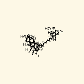 C=C(C)[C@@H]1CC[C@]2(C(=O)NCCCCCCCC(=O)N[C@H](CC(C)C)[C@H](O)CC(=O)O)CC[C@]3(C)[C@H](CCC4[C@@]5(C)CC[C@H](O)C(C)(C)[C@@H]5CC[C@]43C)[C@@H]12